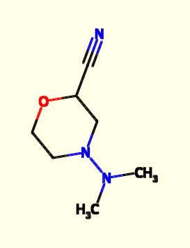 CN(C)N1CCOC(C#N)C1